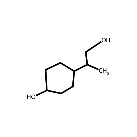 CC(CO)C1CCC(O)CC1